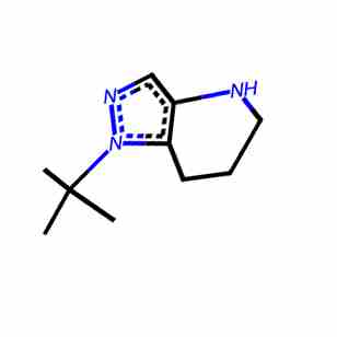 CC(C)(C)n1ncc2c1CCCN2